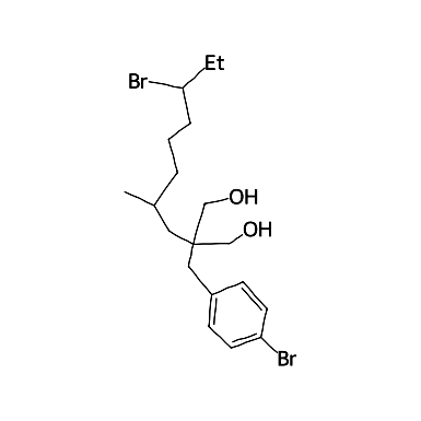 CCC(Br)CCCC(C)CC(CO)(CO)Cc1ccc(Br)cc1